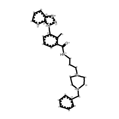 Cc1c(C(=O)NCCCN2CCN(Cc3ccccc3)CC2)cccc1-n1nnc2cccnc21